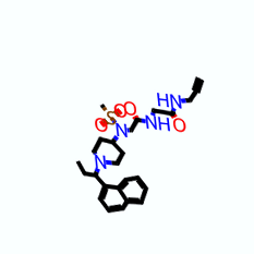 C#CCNC(=O)CNC(=O)CN(C1CCN(C(CC)c2cccc3ccccc23)CC1)S(C)(=O)=O